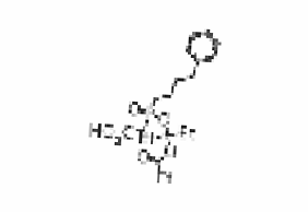 CCC(=O)OC(CC)(CC)OP(=O)(CCCCc1ccccc1)CC(=O)O